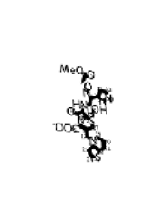 COC(=O)CON=C(C(=O)NC1C(=O)N2C(C(=O)[O-])=C(C[n+]3cccc4sccc43)CS[C@@H]12)c1ccn[nH]1